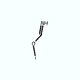 N=COI